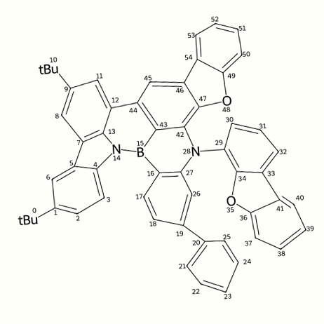 CC(C)(C)c1ccc2c(c1)c1cc(C(C)(C)C)cc3c1n2B1c2ccc(-c4ccccc4)cc2N(c2cccc4c2oc2ccccc24)c2c1c-3cc1c2oc2ccccc21